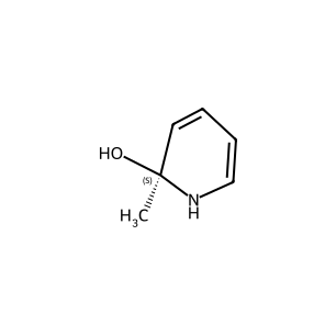 C[C@]1(O)C=CC=CN1